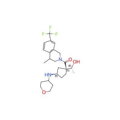 CC1CN(C(=O)[C@@]2([C@@H](C)O)CC[C@@H](NC3CCOCC3)C2)Cc2cc(C(F)(F)F)ccc21